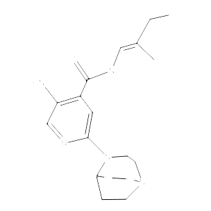 C/C(=C\NC(=O)c1cc(N2CCN3CCC2CC3)ncc1[N+](=O)[O-])CO